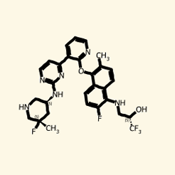 Cc1ccc2c(NC[C@H](O)C(F)(F)F)c(F)ccc2c1Oc1ncccc1-c1ccnc(N[C@@H]2CNC[C@@](C)(F)C2)n1